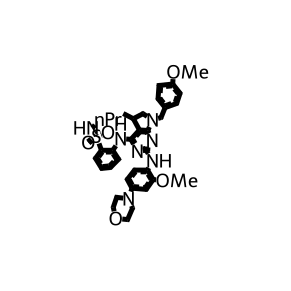 CCCNS(=O)(=O)c1ccccc1Nc1nc(Nc2ccc(N3CCOCC3)cc2OC)nc2c1C(C)CN2Cc1ccc(OC)cc1